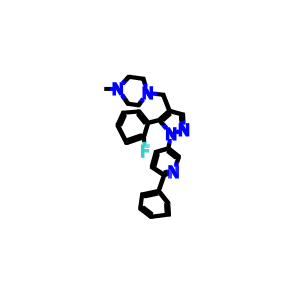 CN1CCN(Cc2cnn(-c3ccc(-c4ccccc4)nc3)c2-c2ccccc2F)CC1